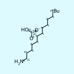 CC(C)(C)CCCCCCCCCCCN.[O-][I+2]([O-])O